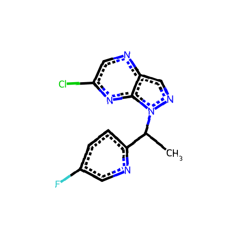 CC(c1ccc(F)cn1)n1ncc2ncc(Cl)nc21